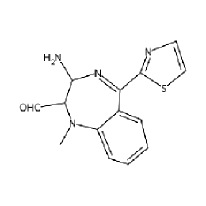 CN1c2ccccc2C(c2nccs2)=NC(N)C1C=O